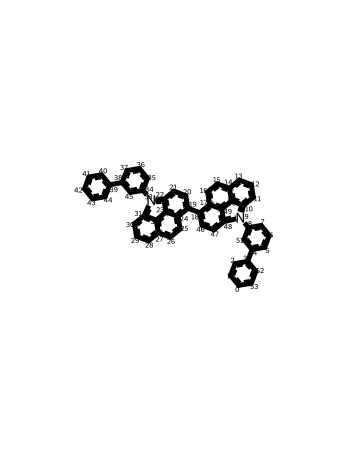 c1ccc(-c2cccc(-n3c4cccc5ccc6c(-c7ccc8c9c7ccc7cccc(c79)n8-c7cccc(-c8ccccc8)c7)ccc3c6c54)c2)cc1